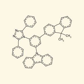 CC1(C)c2ccccc2-c2ccc(-c3cc(-n4c(-c5ccccc5)nnc4-c4ccccc4)cc(-n4c5ccccc5c5ccccc54)c3)cc21